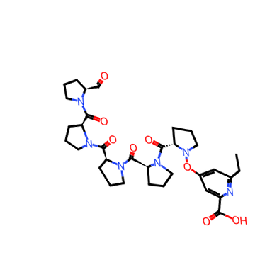 CCc1cc(ON2CCC[C@H]2C(=O)N2CCC[C@H]2C(=O)N2CCC[C@H]2C(=O)N2CCC[C@H]2C(=O)N2CCC[C@H]2C=O)cc(C(=O)O)n1